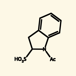 CC(=O)N1c2ccccc2CC1S(=O)(=O)O